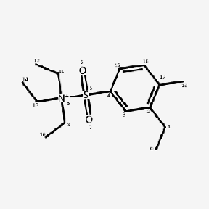 CCc1cc(S(=O)(=O)[N+](CC)(CC)CC)ccc1C